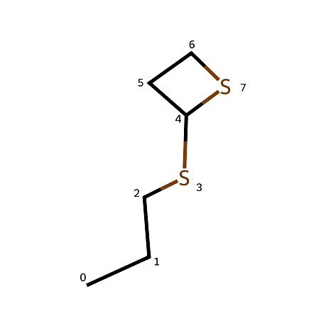 CCCSC1CCS1